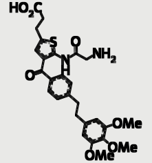 COc1cc(CCc2ccc(C(=O)c3cc(CCC(=O)O)sc3NC(=O)CN)cc2)cc(OC)c1OC